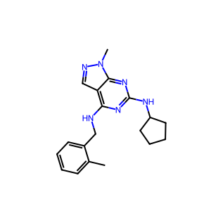 Cc1ccccc1CNc1nc(NC2CCCC2)nc2c1cnn2C